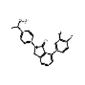 CC(C(=O)O)c1ccc(N2Cc3cccc(-c4ccc(Cl)c(Cl)c4)c3C2=O)cc1